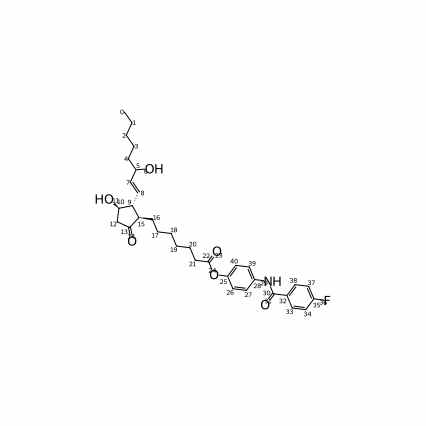 CCCCCC(O)/C=C/[C@H]1[C@H](O)CC(=O)[C@@H]1CCCCCCC(=O)Oc1ccc(NC(=O)c2ccc(F)cc2)cc1